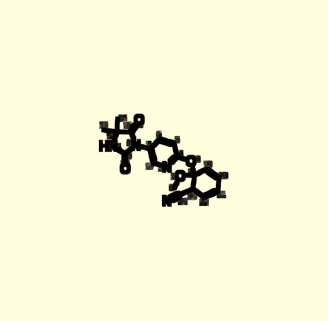 COC1(Oc2ccc(N3C(=O)NC(C)(C)C3=O)cn2)C=CC=CC1C#N